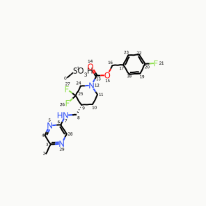 CS(=O)(=O)O.Cc1cnc(NC[C@H]2CCN(C(=O)OCc3ccc(F)cc3)CC2(F)F)cn1